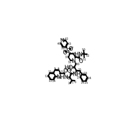 CC(C)[C@H](NC(=O)c1ccc2ccccc2n1)C(=O)NC(Cc1ccccc1)C(O)CN1CCC(S(=O)(=O)c2ccncc2)CC1C(=O)NC(C)(C)C